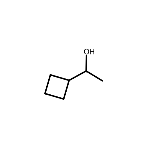 C[C](O)C1CCC1